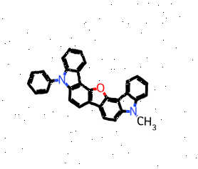 Cn1c2ccccc2c2c3oc4c(ccc5c4c4ccccc4n5-c4ccccc4)c3ccc21